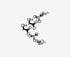 O=C([O-])CO.O=C([O-])CO.[Ba+2].[Ba+2].[Ba+2].[O]=[Ti]([O-])[O-].[O]=[Ti]([O-])[O-]